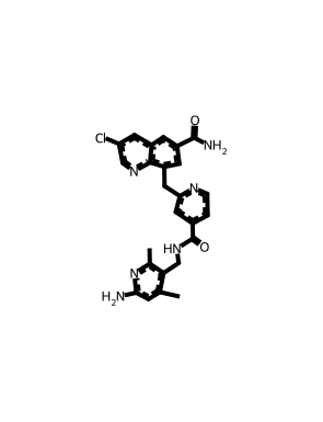 Cc1cc(N)nc(C)c1CNC(=O)c1ccnc(Cc2cc(C(N)=O)cc3cc(Cl)cnc23)c1